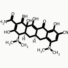 B=C1C(C(N)=O)=C(O)[C@H](N(C)C)[C@@H]2C[C@@H]3Cc4c(N(C)C)cc(C#N)c(O)c4C(=O)C3=C(O)C12O